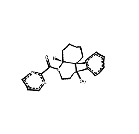 O=C(c1ncccn1)N1CCC(O)(c2ccccc2)[C@H]2CCCC[C@H]21